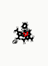 CC1=Cc2c(C(C)C)cc(C(C)C)cc2[CH]1[Zr+2]1([CH]2C(C)=Cc3c(C(C)C)cc(C(C)C)cc32)=[Si]2c3ccccc3[Si]=1c1ccccc12.[Cl-].[Cl-]